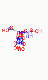 C[C@@H]1C[C@@H](O)CN1C(=O)CCCCCCCCC(=O)NC(COCCC(=O)NCCCNC(=O)CCCCO)(COCCC(=O)NCCCNC(=O)CCCCO)COCCC(=O)NCCCNC(=O)CCCCO